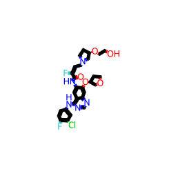 O=C(Nc1cc2c(Nc3ccc(F)c(Cl)c3)ncnc2cc1O[C@H]1CCOC1)/C(F)=C\CN1CC[C@@H](OCCO)C1